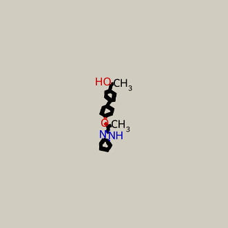 CC(O)c1ccc(-c2ccc(OC(C)c3nc4ccccc4[nH]3)cc2)cc1